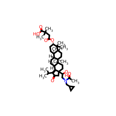 CC(=O)N(CC1CC1)CC(O)C12CC[C@]3(C)[C@H](CC[C@@H]4[C@@]5(C)CC[C@H](OC(=O)CC(C)(C)C(=O)O)C(C)(C)[C@@H]5CC[C@]43C)C1=C(C(C)C)C(=O)C2